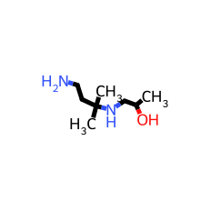 CC(O)CNC(C)(C)CCN